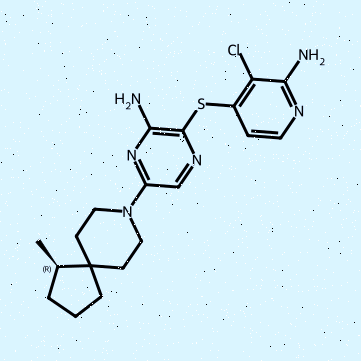 C[C@@H]1CCCC12CCN(c1cnc(Sc3ccnc(N)c3Cl)c(N)n1)CC2